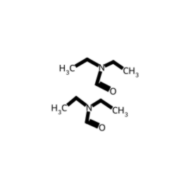 CCN(C=O)CC.CCN(C=O)CC